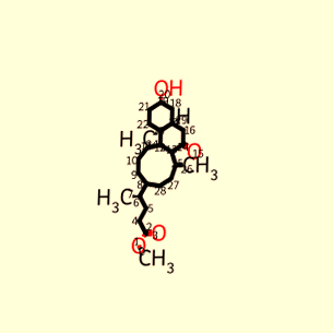 COC(=O)CC[C@@H](C)C1CCCC2C(C(=O)C[C@@H]3C[C@H](O)CC[C@]23C)C(C)CC1